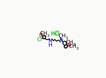 CCCN(CCCCCCNCCc1ccc(OC)c(Cl)c1)C1Cc2cccc(OC)c2C(C)C1.Cl.Cl